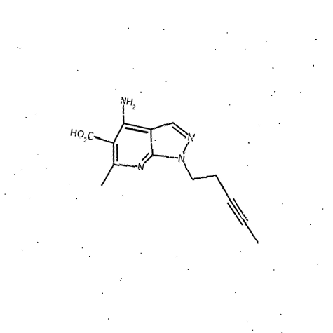 CC#CCCn1ncc2c(N)c(C(=O)O)c(C)nc21